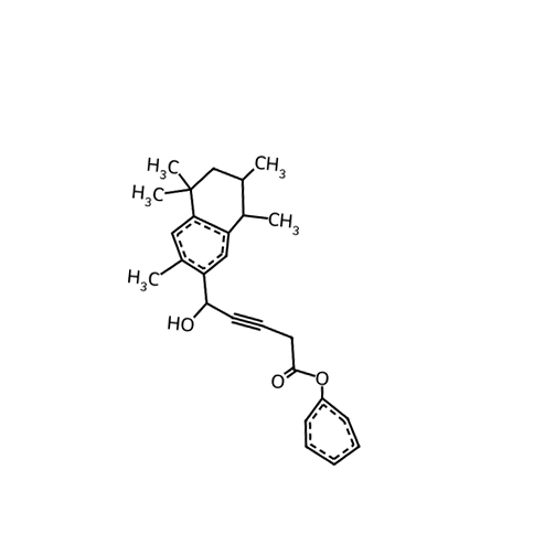 Cc1cc2c(cc1C(O)C#CCC(=O)Oc1ccccc1)C(C)C(C)CC2(C)C